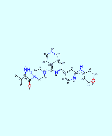 CC(C)[C@@H](N)C(=O)N1CCN(c2nc(-c3ccnc(NC4CCOCC4)c3)cc3cnccc23)CC1